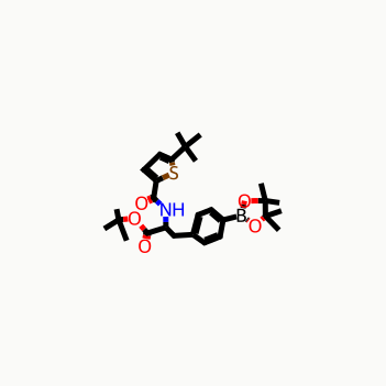 CC(C)(C)OC(=O)C(Cc1ccc(B2OC(C)(C)C(C)(C)O2)cc1)NC(=O)c1ccc(C(C)(C)C)s1